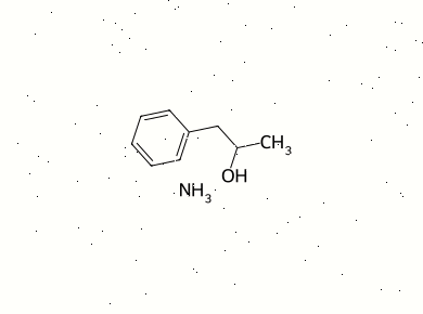 CC(O)Cc1ccccc1.N